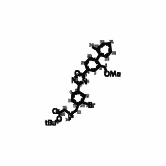 COCc1cc(-c2nc(-c3ccc(CN(C)CC(=O)OC(C)(C)C)c(Br)c3)no2)ccc1-c1ccccc1C